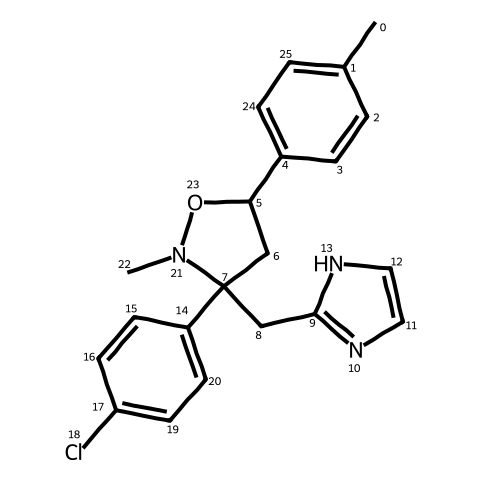 Cc1ccc(C2CC(Cc3ncc[nH]3)(c3ccc(Cl)cc3)N(C)O2)cc1